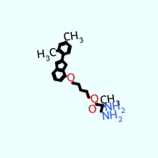 Cc1ccc(C2=Cc3cccc(OCCCCCOC(=O)C(C)(N)CN)c3C2)c(C)c1